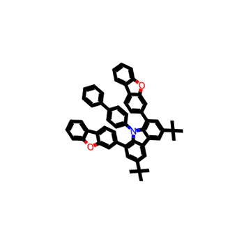 CC(C)(C)c1cc(-c2ccc3c(c2)oc2ccccc23)c2c(c1)c1cc(C(C)(C)C)cc(-c3ccc4c(c3)oc3ccccc34)c1n2-c1ccc(-c2ccccc2)cc1